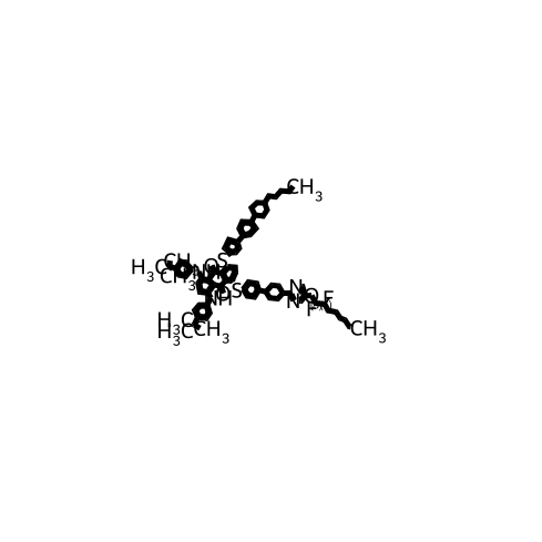 CCCCCC[C@H](F)[C@H](F)Oc1cnc(C2CCC(c3ccc(Sc4ccc(Sc5ccc(-c6ccc(C7CCC(CCCCC)CC7)cc6)cc5)c5c4C(=O)c4c(Nc6ccc(C(C)(C)C)cc6)ccc(Nc6ccc(C(C)(C)C)cc6)c4C5=O)cc3)CC2)nc1